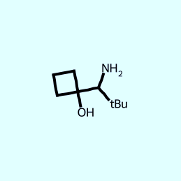 CC(C)(C)C(N)C1(O)CCC1